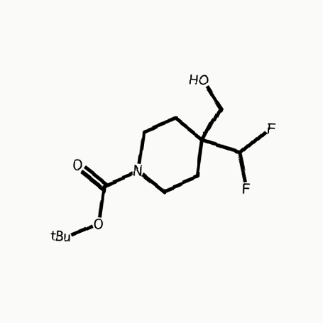 CC(C)(C)OC(=O)N1CCC(CO)(C(F)F)CC1